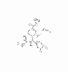 C=CCOc1cc(Cl)c(Cl)cc1[C@H](NC(=O)C(F)(F)F)C1CCN(C(=O)OC(C)(C)C)CC1